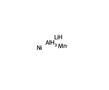 [AlH3].[LiH].[Mn].[Ni]